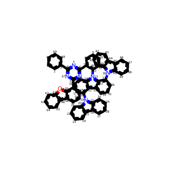 c1ccc(-c2nc(-c3ccccc3-n3c4cccc(-n5c6ccccc6c6ccccc65)c4c4cccc(-n5c6ccccc6c6ccccc65)c43)nc(-c3cccc4c3oc3ccccc34)n2)cc1